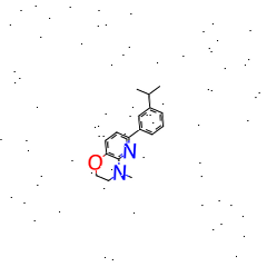 CC(C)c1cccc(-c2ccc3c(n2)N(C)CCO3)c1